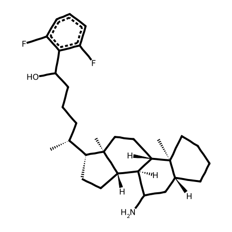 C[C@H](CCCC(O)c1c(F)cccc1F)[C@H]1CC[C@H]2[C@@H]3C(N)C[C@H]4CCCC[C@]4(C)[C@H]3CC[C@]12C